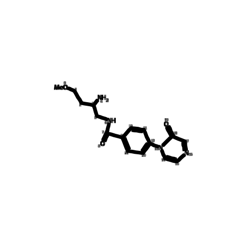 COCCC(N)CNC(=O)c1ccc(-n2ccncc2=O)cc1